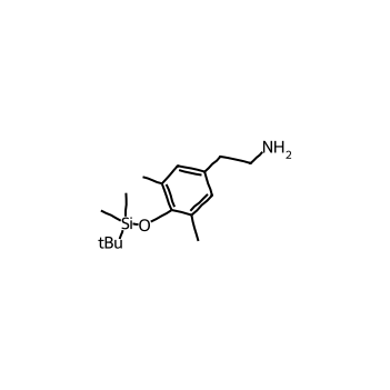 Cc1cc(CCN)cc(C)c1O[Si](C)(C)C(C)(C)C